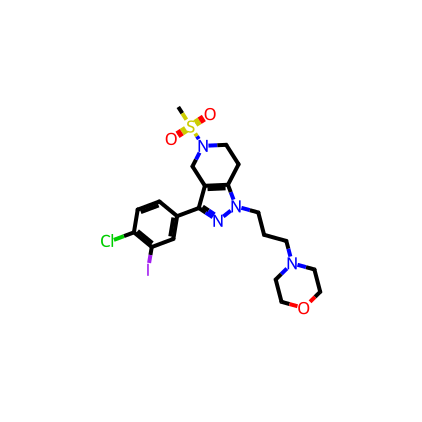 CS(=O)(=O)N1CCc2c(c(-c3ccc(Cl)c(I)c3)nn2CCCN2CCOCC2)C1